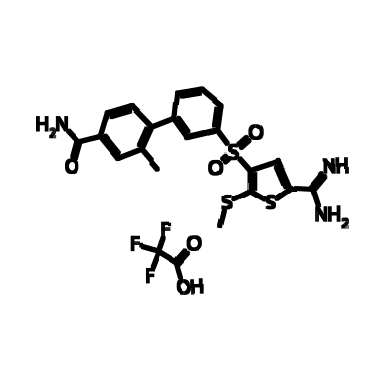 CSc1sc(C(=N)N)cc1S(=O)(=O)c1cccc(-c2ccc(C(N)=O)cc2C)c1.O=C(O)C(F)(F)F